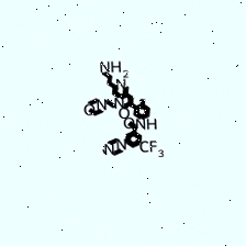 Cc1ccc(NC(=O)c2cc(N3CCN(C)CC3)cc(C(F)(F)F)c2)cc1-c1cc2cnc(CCCN)cc2n(CCN2CCOCC2)c1=O